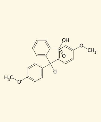 COc1ccc(C(Cl)(c2ccc(OC)cc2)c2ccccc2C(=O)O)cc1